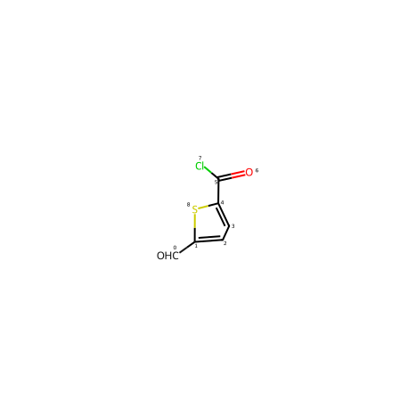 O=Cc1ccc(C(=O)Cl)s1